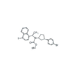 C[C@H](c1ccc(F)c2ccccc12)N(C(=O)OC(C)(C)C)C1CC[C@@H](c2ccc(Br)cc2)C1